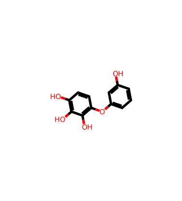 Oc1cccc(Oc2ccc(O)c(O)c2O)c1